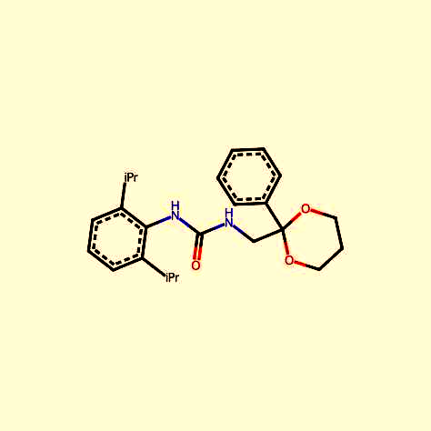 CC(C)c1cccc(C(C)C)c1NC(=O)NCC1(c2ccccc2)OCCCO1